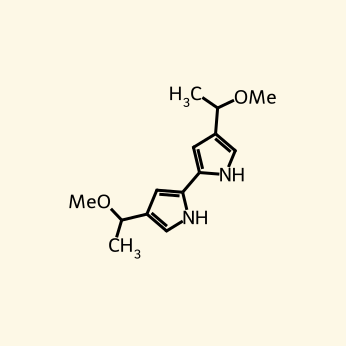 COC(C)c1c[nH]c(-c2cc(C(C)OC)c[nH]2)c1